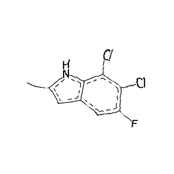 Cc1cc2cc(F)c(Cl)c(Cl)c2[nH]1